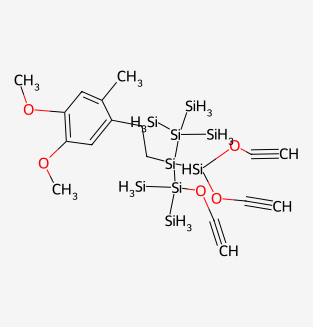 C#CO[SiH](OC#C)[Si](CCc1cc(OC)c(OC)cc1C)([Si]([SiH3])([SiH3])[SiH3])[Si]([SiH3])([SiH3])OC#C